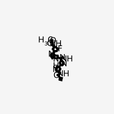 CS(=O)(=O)NCc1cc(F)cc(-c2nccc3[nH]c(-c4n[nH]c5ncc(-c6cncc(NC(=O)C7CCC7)c6)cc45)cc23)c1